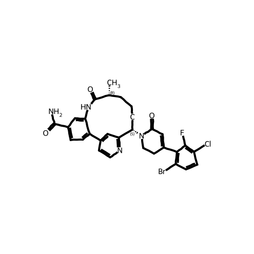 C[C@@H]1CCC[C@H](N2CCC(c3c(Br)ccc(Cl)c3F)=CC2=O)c2cc(ccn2)-c2ccc(C(N)=O)cc2NC1=O